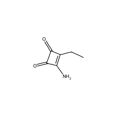 CCc1c(N)c(=O)c1=O